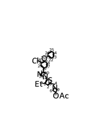 CCc1cc(CN2CC(OC(C)=O)C2)sc1-n1cnc(-c2ccc(Oc3ccccc3)c(Cl)c2)c1